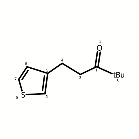 CC(C)(C)C(=O)CCc1ccsc1